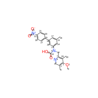 COc1c(C)cnc(CN(C(=O)O)c2cc(C)cc(-c3ccc([N+](=O)[O-])cc3)c2)c1C